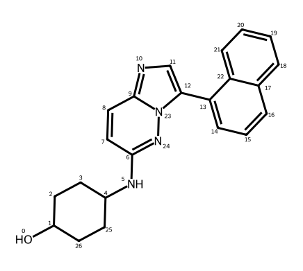 OC1CCC(Nc2ccc3ncc(-c4cccc5ccccc45)n3n2)CC1